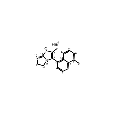 Br.CC1=C(c2cccc3c(C)cccc23)N2CCN=C2S1